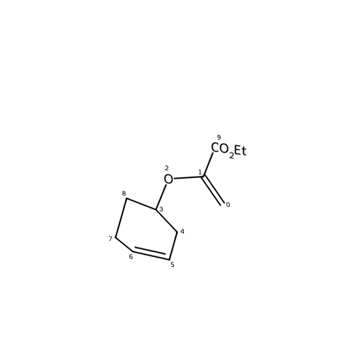 C=C(OC1CC=CCC1)C(=O)OCC